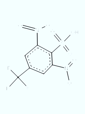 O=[N+]([O-])c1cc(C(F)(F)F)cc([N+](=O)[O-])c1S(=O)(=O)O